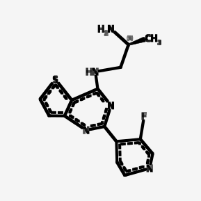 C[C@H](N)CNc1nc(-c2ccncc2F)nc2ccsc12